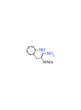 CCCCCCC1=C(N)Nc2ccccc2C1